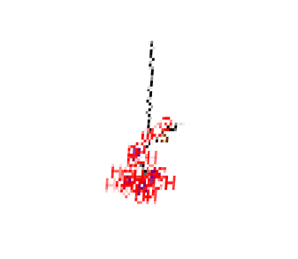 CCCCCCCCCCCCCCCC(=O)O[C@H](CCSC(=O)CCC)COP(=O)(O)OC1C[C@@H](OP(=O)(O)O)C(OP(=O)(O)O)[C@@H](OP(=O)(O)O)[C@H]1O